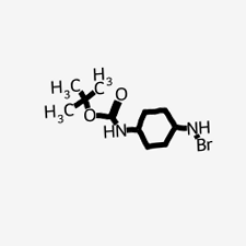 CC(C)(C)OC(=O)NC1CCC(NBr)CC1